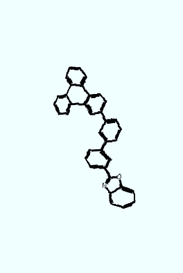 c1cc(-c2cccc(-c3nc4ccccc4o3)c2)cc(-c2ccc3c4ccccc4c4ccccc4c3c2)c1